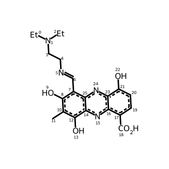 CCN(CC)CCN=Cc1c(O)c(C)c(O)c2nc3c(C(=O)O)ccc(O)c3nc12